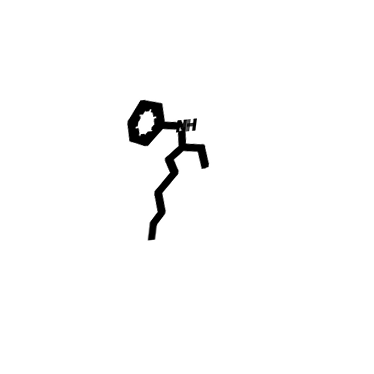 CCCCCCC(CC)Nc1ccccc1